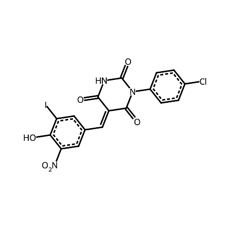 O=C1NC(=O)N(c2ccc(Cl)cc2)C(=O)/C1=C/c1cc(I)c(O)c([N+](=O)[O-])c1